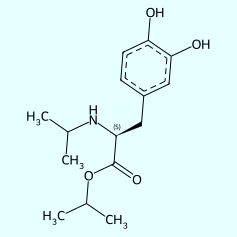 CC(C)N[C@@H](Cc1ccc(O)c(O)c1)C(=O)OC(C)C